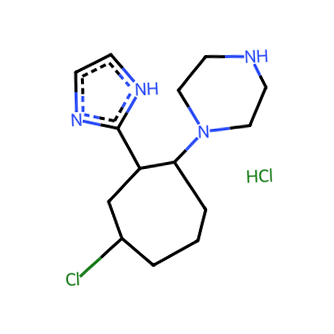 Cl.ClC1CCCC(N2CCNCC2)C(c2ncc[nH]2)C1